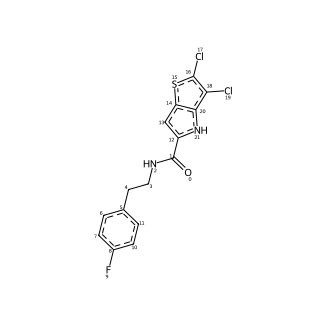 O=C(NCCc1ccc(F)cc1)c1cc2sc(Cl)c(Cl)c2[nH]1